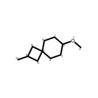 COC1CCC2(CC1)CC(C)C2